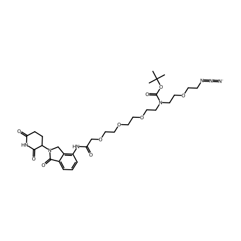 CC(C)(C)OC(=O)N(CCOCCN=[N+]=[N-])CCOCCOCCOCC(=O)Nc1cccc2c1CN(C1CCC(=O)NC1=O)C2=O